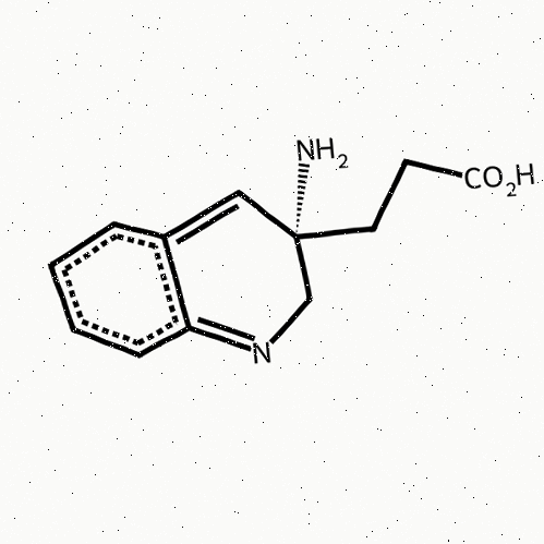 N[C@@]1(CCC(=O)O)C=c2ccccc2=NC1